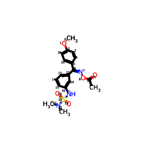 COc1ccc(C(=NOC(C)=O)c2cccc(NS(=O)(=O)N(C)C)c2)cc1